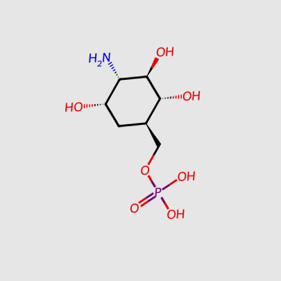 N[C@@H]1[C@@H](O)[C@H](O)[C@@H](COP(=O)(O)O)C[C@@H]1O